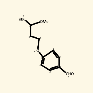 CCCCC(CCOc1ccc(C=O)cc1)OC